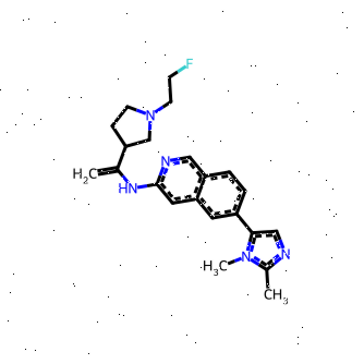 C=C(Nc1cc2cc(-c3cnc(C)n3C)ccc2cn1)C1CCN(CCF)C1